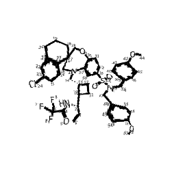 C=C[C@H](NC(=O)C(F)(F)F)[C@@H]1CC[C@H]1CN1C[C@@]2(CCCc3cc(Cl)ccc32)COc2ccc(S(=O)(=O)N(Cc3ccc(OC)cc3)Cc3ccc(OC)cc3)cc21